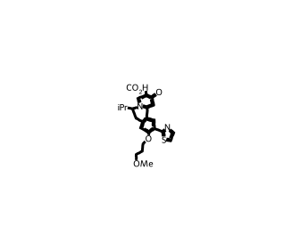 COCCCOc1cc2c(cc1-c1nccs1)-c1cc(=O)c(C(=O)O)cn1C(C(C)C)C2